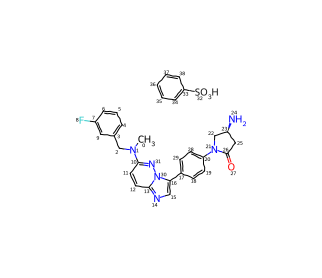 CN(Cc1cccc(F)c1)c1ccc2ncc(-c3ccc(N4C[C@@H](N)CC4=O)cc3)n2n1.O=S(=O)(O)c1ccccc1